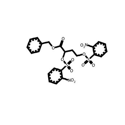 O=C(OCc1ccccc1)C(CCOS(=O)(=O)c1ccccc1[N+](=O)[O-])OS(=O)(=O)c1ccccc1[N+](=O)[O-]